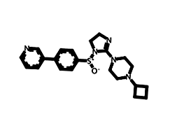 [O-][S+](c1ccc(-c2cccnc2)cc1)N1CCN=C1N1CCN(C2CCC2)CC1